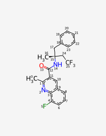 Cc1nc2c(F)cccc2cc1C(=O)N[C@](C)(Cc1ccccc1)CC(F)(F)F